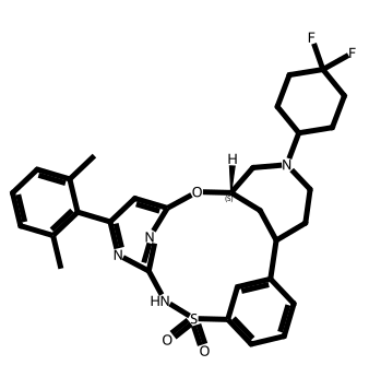 Cc1cccc(C)c1-c1cc2nc(n1)NS(=O)(=O)c1cccc(c1)C1CCN(C3CCC(F)(F)CC3)C[C@H](C1)O2